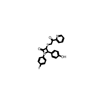 O=C(CSC1C(=O)N(c2ccc(F)cc2)C1c1ccc(O)cc1)c1ccccn1